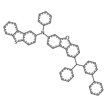 c1ccc(-c2cccc(C(c3ccccc3)c3ccc4oc5cc(N(c6ccccc6)c6ccc7sc8ccccc8c7c6)ccc5c4c3)c2)cc1